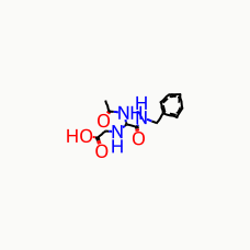 CC(=O)NC(NCC(=O)O)C(=O)NCc1ccccc1